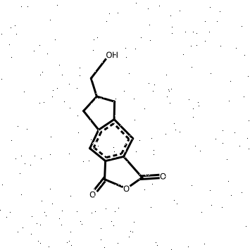 O=C1OC(=O)c2cc3c(cc21)CC(CO)C3